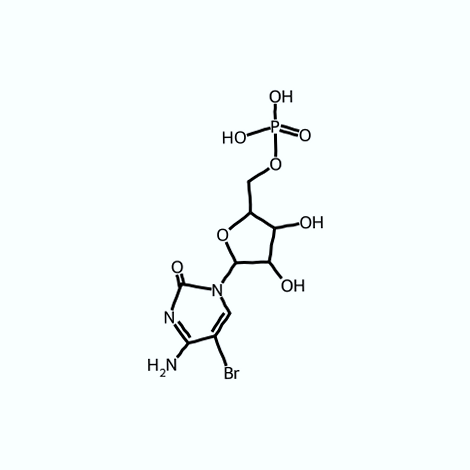 Nc1nc(=O)n(C2OC(COP(=O)(O)O)C(O)C2O)cc1Br